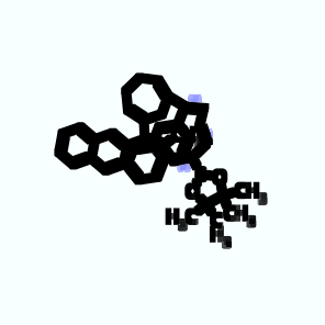 CC1=C(/c2ccc3ccccc3c2)C2=CCCC=C(C2)/C(c2ccc3ccccc3c2)=C/C=C/C(B2OC(C)(C)C(C)(C)O2)=C\1